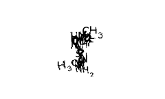 CC(NC(=O)c1cccnc1NCc1ccc(-c2cc3c(cn2)nc(N)n3C)s1)c1ccc(F)cc1